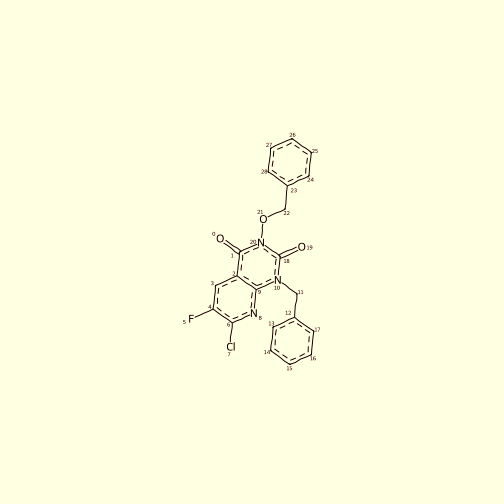 O=c1c2cc(F)c(Cl)nc2n(Cc2ccccc2)c(=O)n1OCc1ccccc1